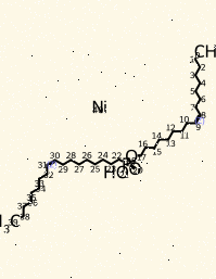 CCCCCCCC/C=C\CCCCCCCCOP(=O)(O)CCCCCCCC/C=C\CCCCCCCC.[Ni]